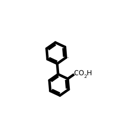 O=C(O)c1ccccc1-c1[c]cccc1